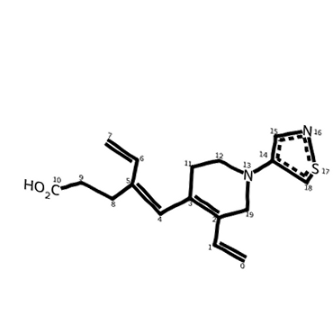 C=CC1=C(/C=C(\C=C)CCC(=O)O)CCN(c2cnsc2)C1